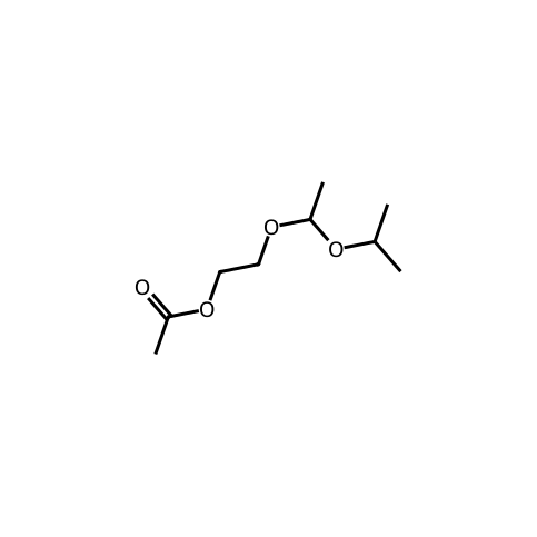 CC(=O)OCCOC(C)OC(C)C